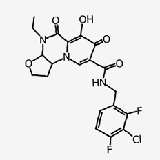 CCN1C(=O)c2c(O)c(=O)c(C(=O)NCc3ccc(F)c(Cl)c3F)cn2C2CCOC21